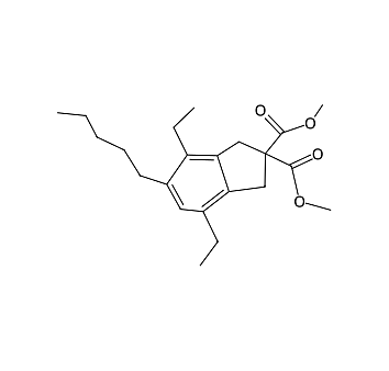 CCCCCc1cc(CC)c2c(c1CC)CC(C(=O)OC)(C(=O)OC)C2